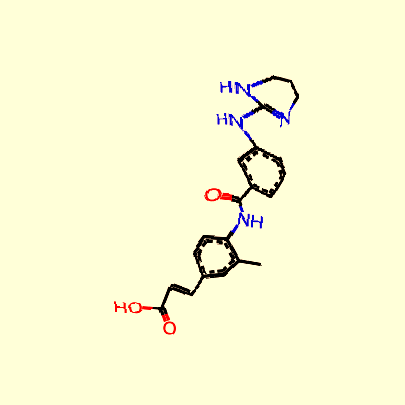 Cc1cc(/C=C/C(=O)O)ccc1NC(=O)c1cccc(NC2=NCCCN2)c1